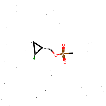 CS(=O)(=O)OC[C@H]1C[C@@H]1F